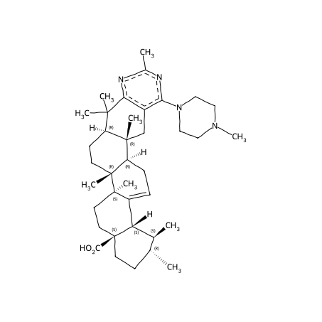 Cc1nc(N2CCN(C)CC2)c2c(n1)C(C)(C)[C@@H]1CC[C@]3(C)[C@H](CC=C4[C@@H]5[C@@H](C)[C@H](C)CC[C@]5(C(=O)O)CC[C@]43C)[C@@]1(C)C2